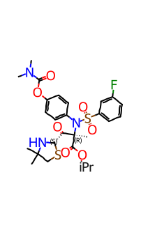 CC(C)OC(=O)[C@@](C)(C(=O)[C@H]1NC(C)(C)CS1)N(c1ccc(OC(=O)N(C)C)cc1)S(=O)(=O)c1cccc(F)c1